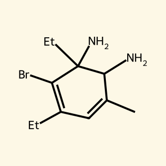 CCC1=C(Br)C(N)(CC)C(N)C(C)=C1